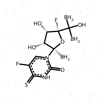 BC(B)(O)[C@@]1(F)O[C@@](B)(n2cc(F)c(=S)[nH]c2=O)[C@H](O)[C@@H]1O